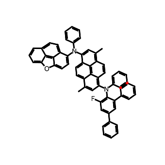 Cc1cc(N(c2ccccc2)c2c(F)cc(-c3ccccc3)cc2-c2ccccc2)c2ccc3c(C)cc(N(c4ccccc4)c4ccc5oc6cccc7ccc4c5c76)c4ccc1c2c34